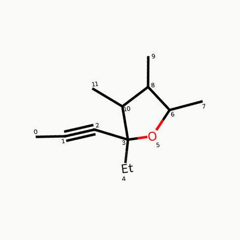 CC#CC1(CC)OC(C)C(C)C1C